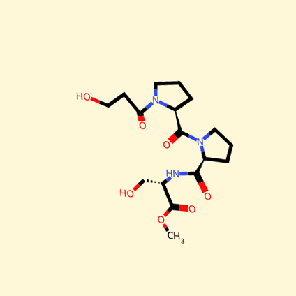 COC(=O)[C@H](CO)NC(=O)[C@@H]1CCCN1C(=O)[C@@H]1CCCN1C(=O)CCO